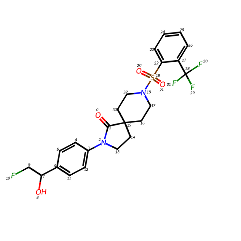 O=C1N(c2ccc(C(O)CF)cc2)CCC12CCN(S(=O)(=O)c1ccccc1C(F)(F)F)CC2